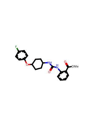 COC(=O)c1ccccc1NC(=O)NC1CCC(Oc2ccc(F)cc2)CC1